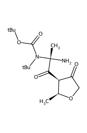 C[C@@H]1OCC(=O)[C@@H]1C(=O)[C@@](C)(N)N(C(=O)OC(C)(C)C)C(C)(C)C